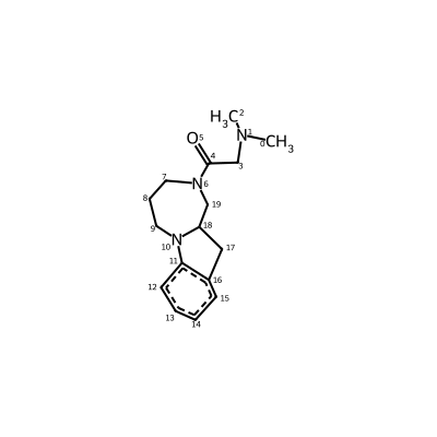 CN(C)CC(=O)N1CCCN2c3ccccc3CC2C1